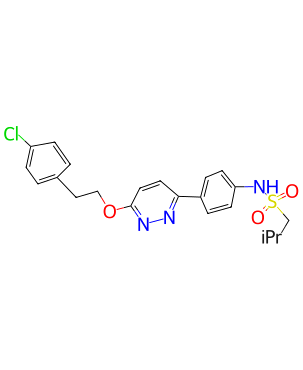 CC(C)CS(=O)(=O)Nc1ccc(-c2ccc(OCCc3ccc(Cl)cc3)nn2)cc1